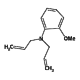 C=CCN(CC=C)c1ccccc1OC